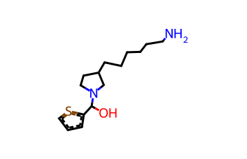 NCCCCCCC1CCN(C(O)c2cccs2)C1